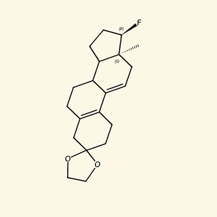 C[C@]12CC=C3C4=C(CCC3C1CC[C@H]2F)CC1(CC4)OCCO1